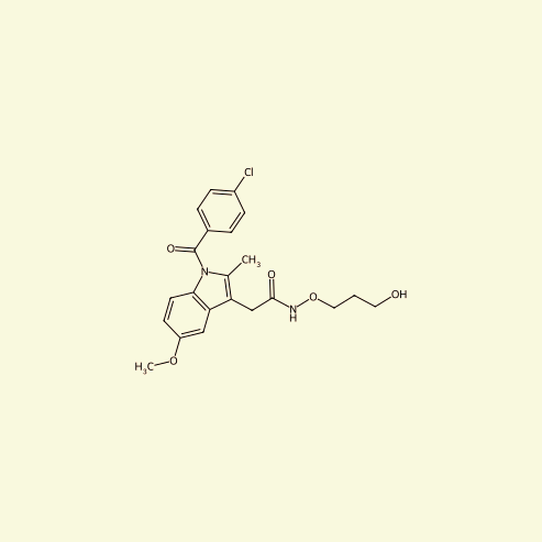 COc1ccc2c(c1)c(CC(=O)NOCCCO)c(C)n2C(=O)c1ccc(Cl)cc1